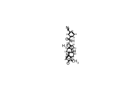 CN1C(=O)C=C[C@@]2(C)C1CC[C@@H]1[C@H]2CC[C@]2(C)C(CNC(=O)c3cccc(C#N)c3)CC[C@@H]12